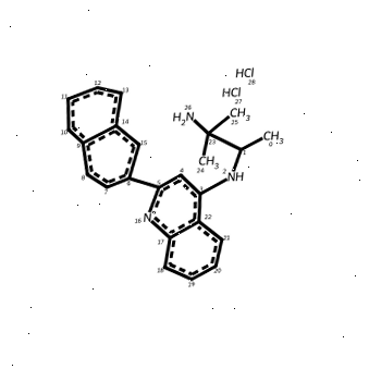 CC(Nc1cc(-c2ccc3ccccc3c2)nc2ccccc12)C(C)(C)N.Cl.Cl